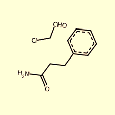 NC(=O)CCc1ccccc1.O=CCCl